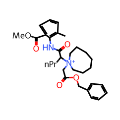 CCCC(C(=O)Nc1c(C)cccc1C(=O)OC)[N+]1(CC(=O)OCc2ccccc2)CCCCCCC1